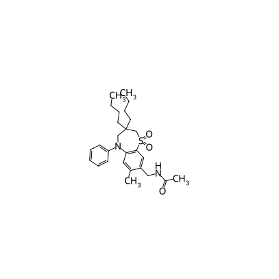 CCCCC1(CCCC)CN(c2ccccc2)c2cc(C)c(CNC(C)=O)cc2S(=O)(=O)C1